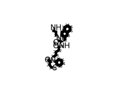 NCCCNC(=O)[C@@H](Cc1ccc2ccccc2c1)NC(=O)CCCCN1C(=O)CCSc2ccccc21